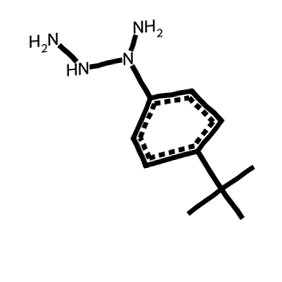 CC(C)(C)c1ccc(N(N)NN)cc1